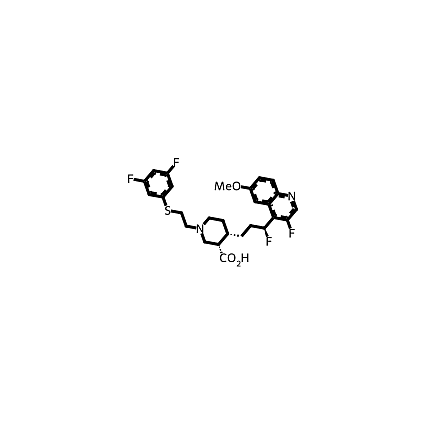 COc1ccc2ncc(F)c([C@@H](F)CC[C@H]3CCN(CCSc4cc(F)cc(F)c4)C[C@H]3C(=O)O)c2c1